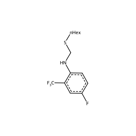 CCCCCCSCNc1ccc(F)cc1C(F)(F)F